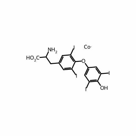 NC(Cc1cc(I)c(Oc2cc(I)c(O)c(I)c2)c(I)c1)C(=O)O.[Co]